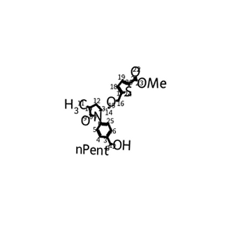 CCCCC[C@H](O)c1ccc(N2C(=O)C(C)C[C@@H]2COCc2ccc(C(=O)OC)s2)cc1